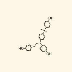 CC(C)(c1ccc(O)cc1)c1ccc(C(CCc2ccc(O)cc2)c2ccc(O)cc2)cc1